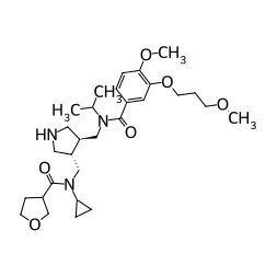 COCCCOc1cc(C(=O)N(C[C@@H]2CNC[C@H]2CN(C(=O)C2CCOC2)C2CC2)C(C)C)ccc1OC